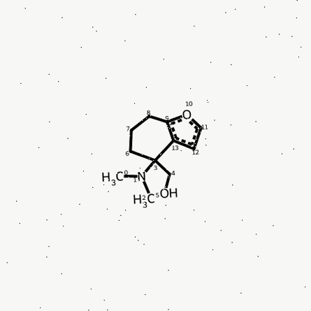 CN(C)C1(CO)CCCc2occc21